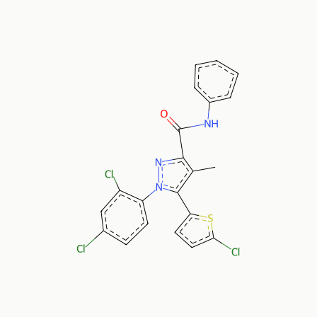 Cc1c(C(=O)Nc2ccccc2)nn(-c2ccc(Cl)cc2Cl)c1-c1ccc(Cl)s1